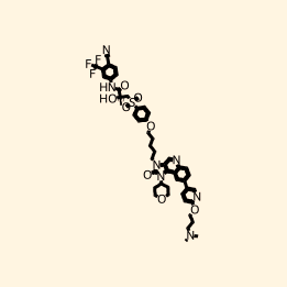 CN(C)CCCOc1ccc(-c2ccc3ncc4c(c3c2)n(C2CCOCC2)c(=O)n4CCCCCOc2ccc(S(=O)(=O)C[C@](C)(O)C(=O)Nc3ccc(C#N)c(C(F)(F)F)c3)cc2)cn1